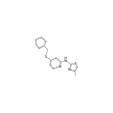 Cc1csc(Nc2cc(SCc3ccccc3)ccn2)n1